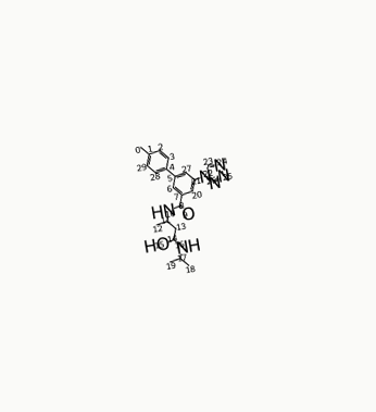 Cc1ccc(-c2cc(C(=O)NC(C)CC(O)NC(C)C)cc(-n3cnnn3)c2)cc1